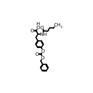 CCCCC(=O)NC(Cc1ccc(OC(=O)OCc2ccccc2)cc1)C(=O)O